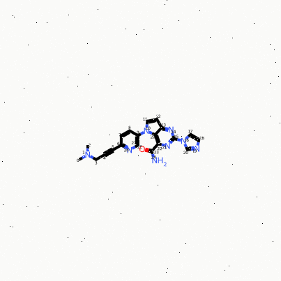 CN(C)CC#Cc1ccc(-n2ccc3nc(-n4ccnc4)nc(C(N)=O)c32)cn1